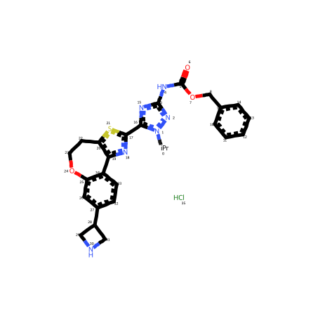 CC(C)n1nc(NC(=O)OCc2ccccc2)nc1-c1nc2c(s1)CCOc1cc(C3CNC3)ccc1-2.Cl